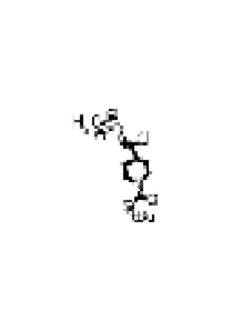 CC(C)(C)OC(=O)N1CCC(/C(Cl)=N/OS(C)(=O)=O)CC1